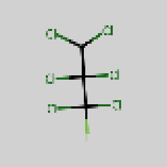 FC(Cl)(Cl)C(Cl)(Cl)C(Cl)Cl